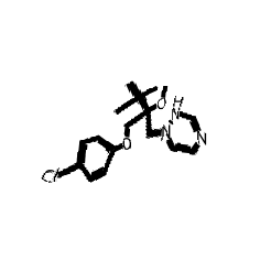 COC(COc1ccc(Cl)cc1)(CN1C=CN=CN1)C(C)(C)C